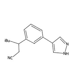 CCC(C)C(CC#N)c1cccc(-c2cn[nH]c2)c1